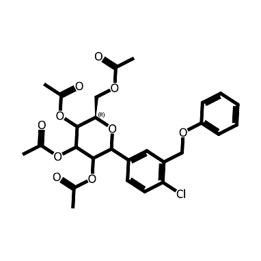 CC(=O)OC[C@H]1OC(c2ccc(Cl)c(COc3ccccc3)c2)C(OC(C)=O)C(OC(C)=O)C1OC(C)=O